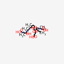 CCCCC1(OC(=O)CCC(=O)O)CCC2(CCC(C)C(C/C=C(C)/C=C/C(O)C(C)/C=C/C(=O)O)O2)OC1/C=C/C(C)=C/C(=O)O